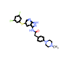 CN1CCN(c2ccc(CC(=O)Nc3n[nH]c4ncc(Sc5cc(F)cc(F)c5)cc34)cc2)CC1